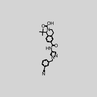 CC(C)(C)C1c2ccc(C(=O)Nc3cnn(Cc4cccc(C#N)c4)c3)cc2CCN1C(=O)O